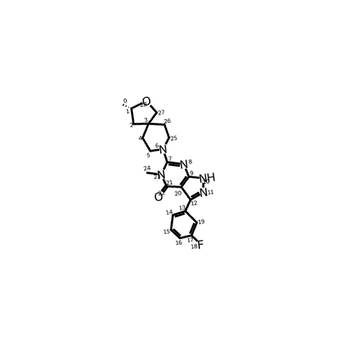 C[C@H]1CC2(CCN(c3nc4[nH]nc(-c5cccc(F)c5)c4c(=O)n3C)CC2)CO1